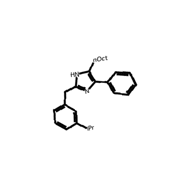 CCCCCCCCc1[nH]c(Cc2cccc(C(C)C)c2)nc1-c1ccccc1